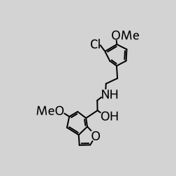 COc1cc(C(O)CNCCc2ccc(OC)c(Cl)c2)c2occc2c1